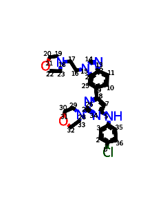 Clc1ccc(Nc2cc(-c3ccc4ncn(CCN5CCOCC5)c4c3)nc(N3CCOCC3)n2)cc1